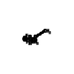 CCCCCCCOC(=O)CC(C)NC(=O)c1c(F)cccc1F